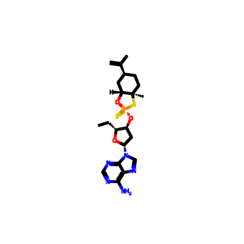 C=C(C)[C@H]1CC[C@@]2(C)S[P@](=S)(O[C@H]3C[C@H](n4cnc5c(N)ncnc54)O[C@@H]3CC)O[C@@H]2C1